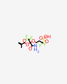 C=C(C)C(=O)OC(OCCC(F)(F)S(=O)(=O)O)(C(N)=O)C(F)(F)F